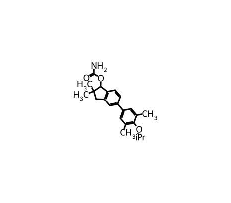 Cc1cc(-c2ccc3c(c2)CC(C)(C)C3OC(N)=O)cc(C)c1OC(C)C